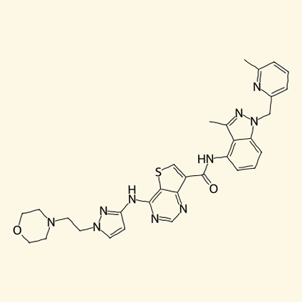 Cc1cccc(Cn2nc(C)c3c(NC(=O)c4csc5c(Nc6ccn(CCN7CCOCC7)n6)ncnc45)cccc32)n1